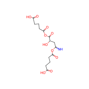 N=C(CC(O)C(=O)OC(=O)CCCC(=O)O)OC(=O)CCCC(=O)O